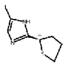 Ic1cnc([C@H]2CCCS2)[nH]1